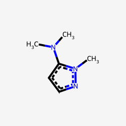 CN(C)c1c[c]nn1C